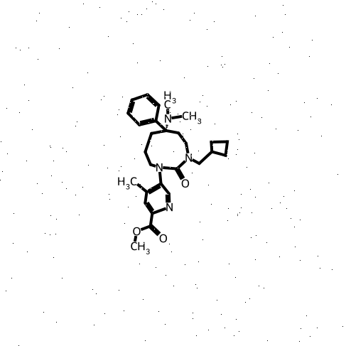 COC(=O)c1cc(C)c(N2CCC[C@](c3ccccc3)(N(C)C)CCN(CC3CCC3)C2=O)cn1